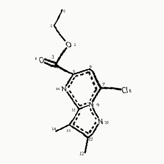 CCOC(=O)c1cc(Cl)n2nc(C)c(C)c2n1